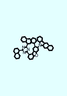 c1ccc(-c2cc3c(cc2-n2c4ccccc4c4cc5ccccc5cc42)oc2cccc(-c4nc(-c5cccc6ccccc56)nc(-c5cccc6ccccc56)n4)c23)cc1